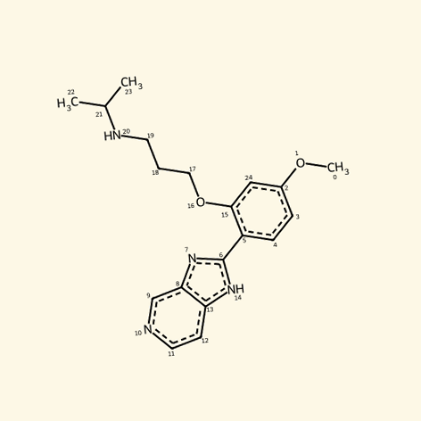 COc1ccc(-c2nc3cnccc3[nH]2)c(OCCCNC(C)C)c1